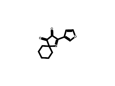 O=C1C(=O)C2(CCCCC2)N=C1c1ccoc1